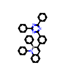 C1=C(c2cccc(-c3nc(-c4ccccc4)nc(-c4ccccc4)n3)c2)B(c2ccccc2)N(c2ccccc2)c2ccccc21